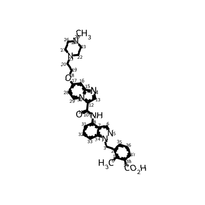 Cc1c(Cn2ncc3c(NC(=O)c4cnc5cc(OCCN6CCN(C)CC6)ccn45)cccc32)cccc1C(=O)O